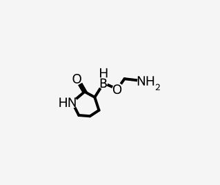 NCOBC1CCCNC1=O